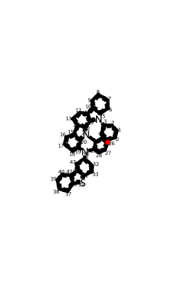 c1ccc(-n2c3ccccc3c3ccc4c5cccc6c5n(c4c32)-c2ccccc2N6c2ccc3sc4ccccc4c3c2)cc1